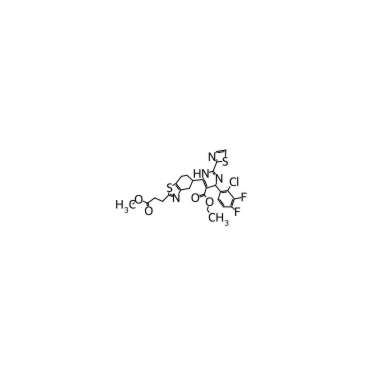 CCOC(=O)C1=C(C2CCc3sc(CCC(=O)OC)nc3C2)NC(c2nccs2)=NC1c1ccc(F)c(F)c1Cl